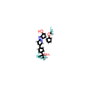 O[C@@H]1C[C@H](c2ccccc2OC(F)F)c2c1nc1ccc(-c3ccc(C(O)(C(F)(F)F)C(F)(F)F)cc3)cn21